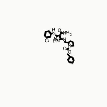 NC(=O)c1c(Nc2cccc(Cl)c2)n[nH]c1N=CC1CCCN1C(=O)OCc1ccccc1